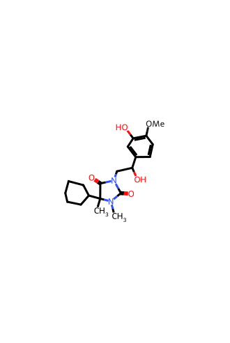 COc1ccc(C(O)CN2C(=O)N(C)C(C)(C3CCCCC3)C2=O)cc1O